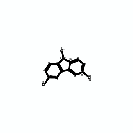 [O-][s+]1c2ccc(Cl)cc2c2cc(Cl)ccc21